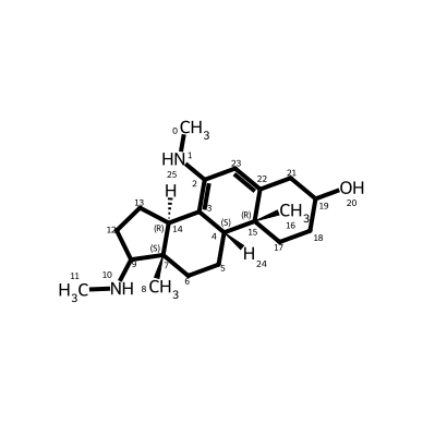 CNC1=C2[C@@H](CC[C@]3(C)C(NC)CC[C@@H]23)[C@@]2(C)CCC(O)CC2=C1